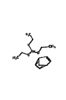 C1=CC2=CC=C1C2.CCO[SiH](OCC)OCC